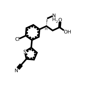 N#Cc1ccc(-c2cc([C@H](CN)CC(=O)O)ccc2Cl)s1